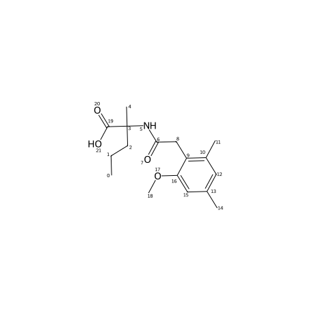 CCCC(C)(NC(=O)Cc1c(C)cc(C)cc1OC)C(=O)O